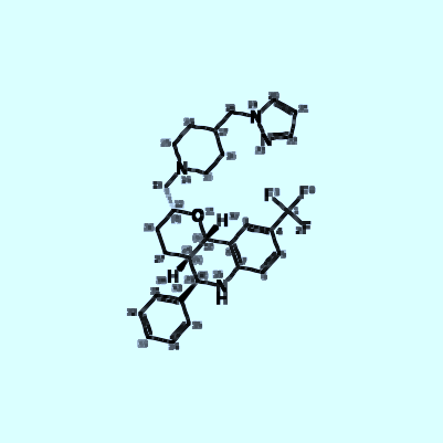 FC(F)(F)c1ccc2c(c1)[C@H]1O[C@@H](CN3CCC(Cn4cccn4)CC3)CC[C@H]1[C@H](c1ccccc1)N2